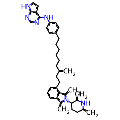 C=C(CCCCCCc1ccc(Nc2ncnc3[nH]ccc23)cc1)CCc1cccc2c(=C)n(C3CCC(=C)NC3=C)c(=C)c12